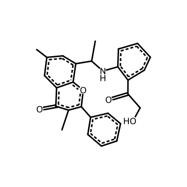 Cc1cc(C(C)Nc2ccccc2C(=O)CO)c2oc(-c3ccccc3)c(C)c(=O)c2c1